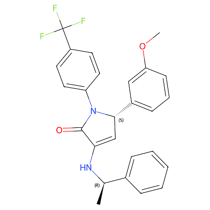 COc1cccc([C@@H]2C=C(N[C@H](C)c3ccccc3)C(=O)N2c2ccc(C(F)(F)F)cc2)c1